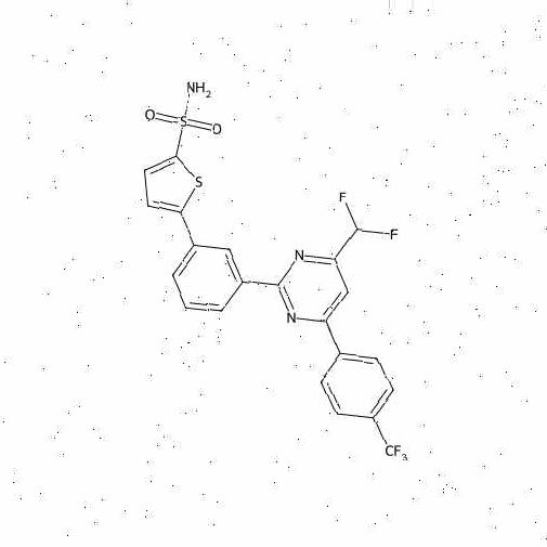 NS(=O)(=O)c1ccc(-c2cccc(-c3nc(-c4ccc(C(F)(F)F)cc4)cc(C(F)F)n3)c2)s1